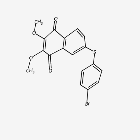 COC1=C(OC)C(=O)c2cc(Sc3ccc(Br)cc3)ccc2C1=O